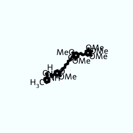 COc1cc(C2NC(=O)c3cc(C)ccc3N2)ccc1OCCCCCCOc1c(OC)cc(C=Cc2cc(OC)c(OC)c(OC)c2)cc1OC